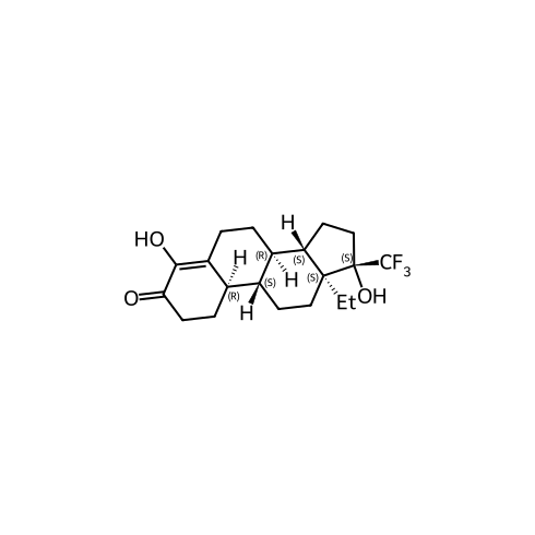 CC[C@]12CC[C@H]3[C@@H](CCC4=C(O)C(=O)CC[C@@H]43)[C@@H]1CC[C@@]2(O)C(F)(F)F